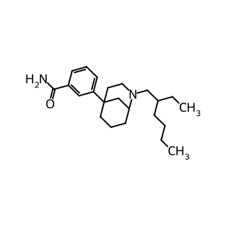 CCCCC(CC)CN1CCC2(c3cccc(C(N)=O)c3)CCCC1C2